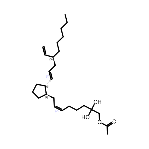 C=C[C@H](C/C=C/[C@H]1CCC[C@@H]1C/C=C\CCCC(O)(O)COC(C)=O)CCCCCC